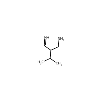 CC(C)C(C=N)CN